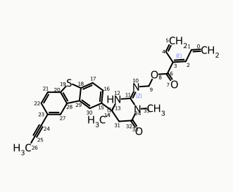 C=C/C=C(\C=C)C(=O)OC/N=C1/N[C@](C)(c2ccc3sc4ccc(C#CC)cc4c3c2)CC(=O)N1C